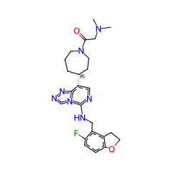 CN(C)CC(=O)N1CCC[C@@H](c2cnc(NCc3c(F)ccc4c3CCO4)n3cnnc23)CC1